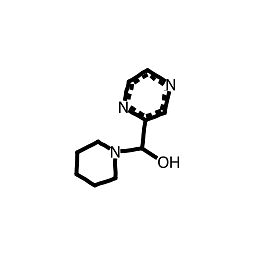 OC(c1cnccn1)N1CCCCC1